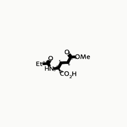 CCC(=O)N[C@@H](CCC(=O)OC)C(=O)O